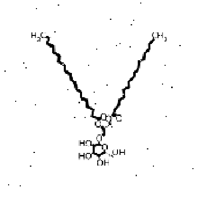 C=CCCCCCCCCCCCCCCCC(=O)OC[C@H](CO[C@@H]1O[C@H](CO)[C@H](O)C(O)C1O)OC(=O)CCC/C=C/C/C=C/C/C=C/C/C=C/C/C=C/CC